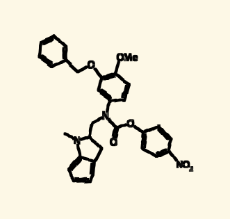 COc1ccc(N(CC2Cc3ccccc3N2C)C(=O)Oc2ccc([N+](=O)[O-])cc2)cc1OCc1ccccc1